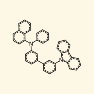 c1ccc(N(c2cccc(-c3cccc(-n4c5ccccc5c5ccccc54)c3)c2)c2cccc3ccccc23)cc1